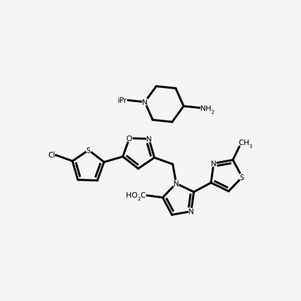 CC(C)N1CCC(N)CC1.Cc1nc(-c2ncc(C(=O)O)n2Cc2cc(-c3ccc(Cl)s3)on2)cs1